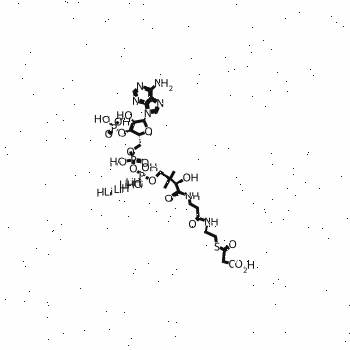 CC(C)(COP(=O)(O)OP(=O)(O)OC[C@H]1O[C@@H](n2cnc3c(N)ncnc32)[C@H](O)[C@@H]1OP(=O)(O)O)C(O)C(=O)NCCC(=O)NCCSC(=O)CC(=O)O.[LiH].[LiH].[LiH].[LiH]